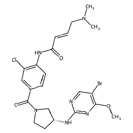 COc1nc(N[C@@H]2CCN(C(=O)c3ccc(NC(=O)/C=C/CN(C)C)c(Cl)c3)C2)ncc1Br